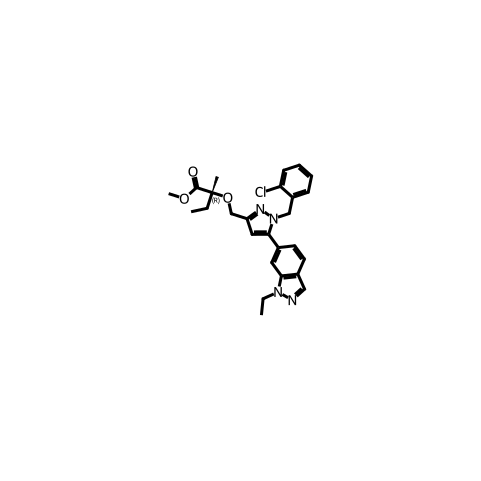 CCn1ncc2ccc(-c3cc(CO[C@](C)(CC)C(=O)OC)nn3Cc3ccccc3Cl)cc21